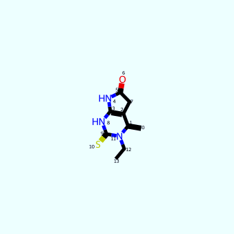 C=C1C2=C(NC(=O)C2)NC(=S)N1CC